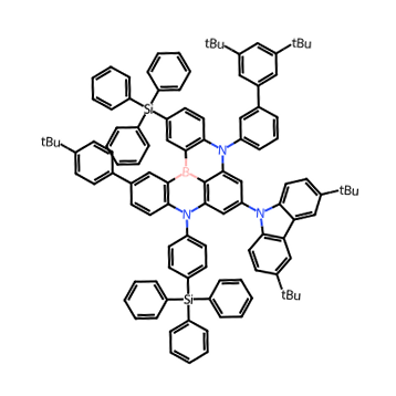 CC(C)(C)c1ccc(-c2ccc3c(c2)B2c4cc([Si](c5ccccc5)(c5ccccc5)c5ccccc5)ccc4N(c4cccc(-c5cc(C(C)(C)C)cc(C(C)(C)C)c5)c4)c4cc(-n5c6ccc(C(C)(C)C)cc6c6cc(C(C)(C)C)ccc65)cc(c42)N3c2ccc([Si](c3ccccc3)(c3ccccc3)c3ccccc3)cc2)cc1